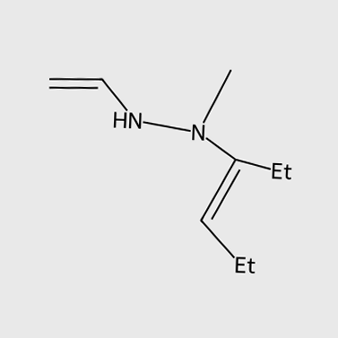 C=CNN(C)/C(=C/CC)CC